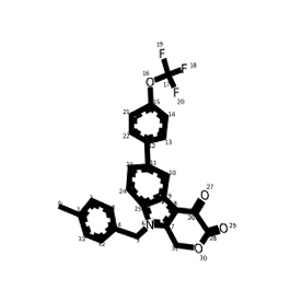 Cc1ccc(Cn2c3c(c4cc(-c5ccc(OC(F)(F)F)cc5)ccc42)C(=O)C(=O)OC3)cc1